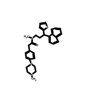 CN1CCN(c2ccc(CC(=O)N(C)CCC(c3cccs3)c3cccc4ccccc34)cc2)CC1